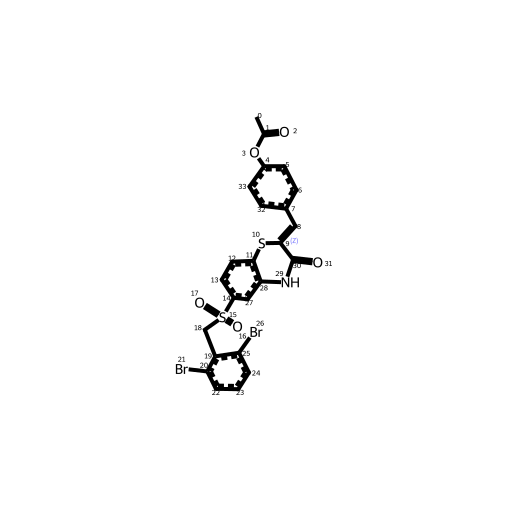 CC(=O)Oc1ccc(/C=C2\Sc3ccc(S(=O)(=O)Cc4c(Br)cccc4Br)cc3NC2=O)cc1